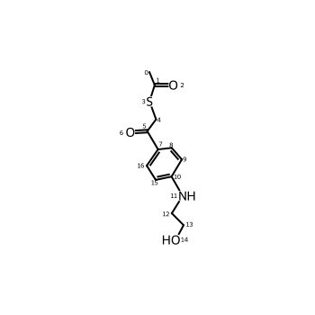 CC(=O)SCC(=O)c1ccc(NCCO)cc1